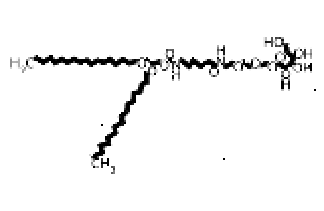 CCCCCCCCCCCCCCCCCCOC[C@@H](COC(=O)NCCCCCC(=O)NCCOCCOCCO[C@H]1OC(CO)[C@@H](O)[C@H](O)C1O)OCCCCCCCCCCCCCCCCCC